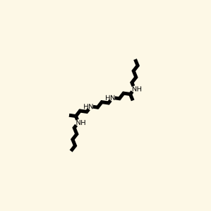 CCCCCNC(C)CCNCCCNCCC(C)NCCCCC